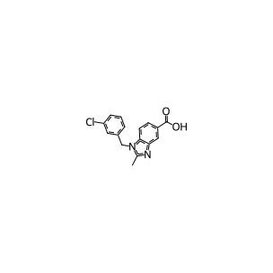 Cc1nc2cc(C(=O)O)ccc2n1Cc1cccc(Cl)c1